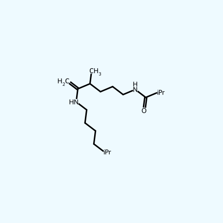 C=C(NCCCCC(C)C)C(C)CCCNC(=O)C(C)C